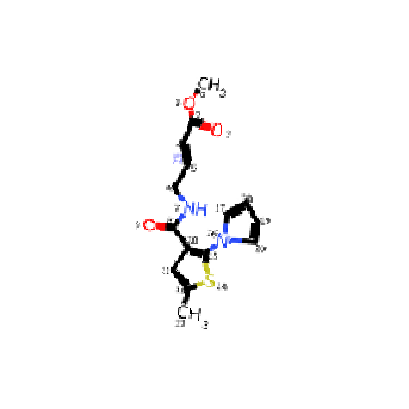 COC(=O)/C=C/CNC(=O)c1cc(C)sc1-n1cccc1